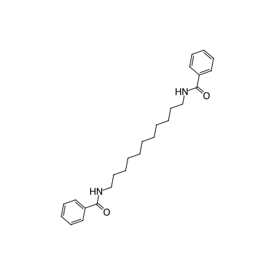 O=C(NCCCCCCCCCCCNC(=O)c1ccccc1)c1ccccc1